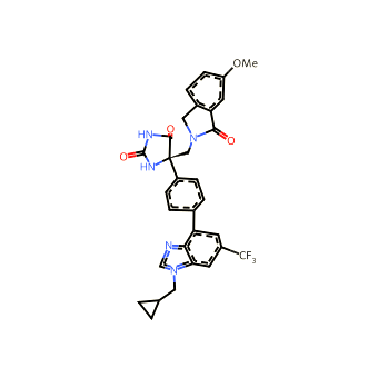 COc1ccc2c(c1)C(=O)N(C[C@@]1(c3ccc(-c4cc(C(F)(F)F)cc5c4ncn5CC4CC4)cc3)NC(=O)NC1=O)C2